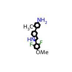 COc1cc(F)c(-c2cc3cc(-c4ccc(N)cc4C)ccc3[nH]2)c(F)c1